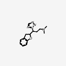 CN(C)CCC(C1Cc2ccccc2O1)n1ncnn1